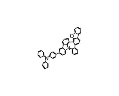 c1ccc(N(c2ccccc2)c2ccc(-c3ccc4c(c3)c3cccc5c3n4-c3ccccc3-c3ccc4c(oc6ccccc64)c3-5)cc2)cc1